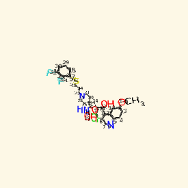 COc1ccc2ncc(Cl)c([C@H](O)CCC3(C(=O)NO)CCN(CCCSc4cccc(F)c4F)CC3)c2c1